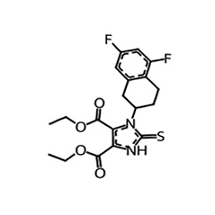 CCOC(=O)c1[nH]c(=S)n(C2CCc3c(F)cc(F)cc3C2)c1C(=O)OCC